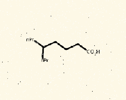 CCCC(CCC)CCCC(=O)O